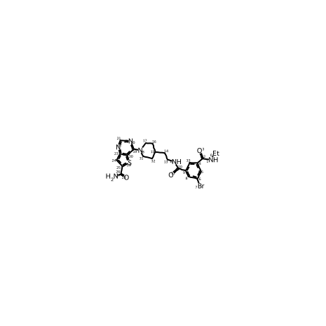 CCNC(=O)c1cc(Br)cc(C(=O)NCCC2CCN(c3ncnc4cc(C(N)=O)sc34)CC2)c1